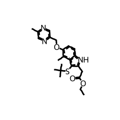 CCOC(=O)Cc1[nH]c2ccc(OCc3cnc(C)cn3)c(C)c2c1SC(C)(C)C